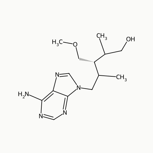 COC[C@H](C(C)CO)C(C)Cn1cnc2c(N)ncnc21